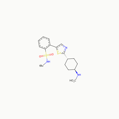 CC(C)(C)NS(=O)(=O)c1ccccc1-c1cnc([C@H]2CC[C@H](NC(=O)O)CC2)s1